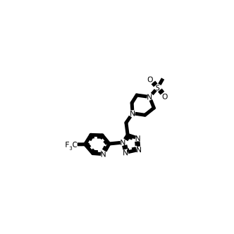 CS(=O)(=O)N1CCN(Cc2nnnn2-c2ccc(C(F)(F)F)cn2)CC1